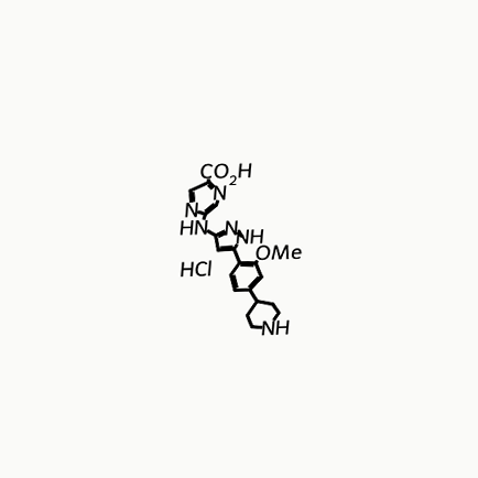 COc1cc(C2CCNCC2)ccc1-c1cc(Nc2cnc(C(=O)O)cn2)n[nH]1.Cl